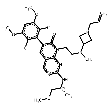 C=CCN1CC(N(C)CCn2c(=O)c(-c3c(Cl)c(OC)cc(OC)c3Cl)cc3cnc(N[C@H](C)COC)nc32)C1